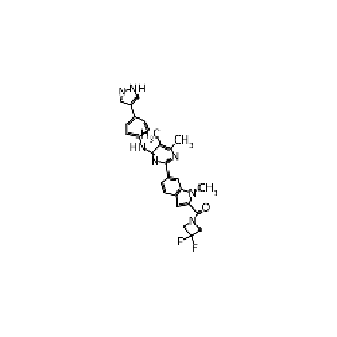 Cc1nc(-c2ccc3cc(C(=O)N4CC(F)(F)C4)n(C)c3c2)nc(Nc2ccc(-c3cn[nH]c3)cc2)c1C